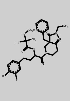 CC(C)(NC(=O)O)C(=O)NC(CCc1ccc(Br)c(F)c1)C(=O)N1CCC2=NN(CC(F)(F)F)C(=O)C2(Cc2ccccn2)C1